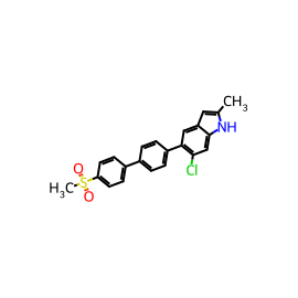 Cc1cc2cc(-c3ccc(-c4ccc(S(C)(=O)=O)cc4)cc3)c(Cl)cc2[nH]1